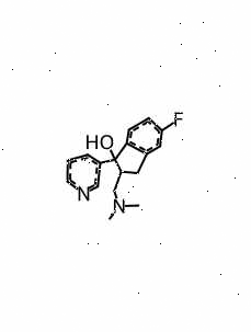 CN(C)CC1Cc2cc(F)ccc2C1(O)c1cccnc1